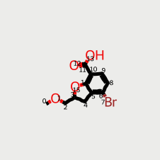 COCC1Cc2c(Br)ccc(C(=O)O)c2O1